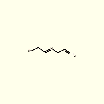 C=CCN=CCC(C)C